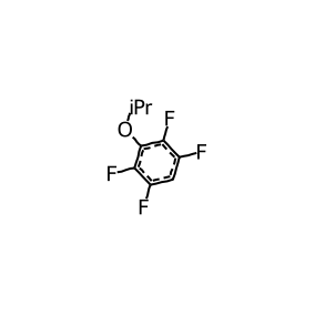 CC(C)Oc1c(F)c(F)cc(F)c1F